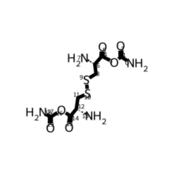 NC(=O)OC(=O)[C@@H](N)CSSC[C@H](N)C(=O)OC(N)=O